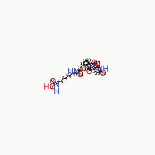 O=C(O)NCCCCCCCCNC(=O)COc1cccc2c1C(=O)N(C1CCC(=O)NC1=O)C2=O